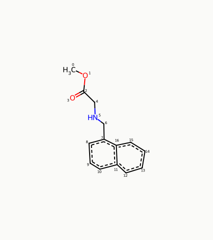 COC(=O)CNCc1cccc2ccccc12